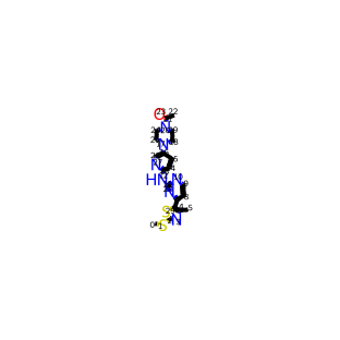 CSc1nc(C)c(-c2ccnc(Nc3ccc(N4CCN(C(C)=O)CC4)cn3)n2)s1